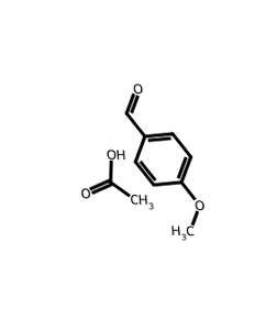 CC(=O)O.COc1ccc(C=O)cc1